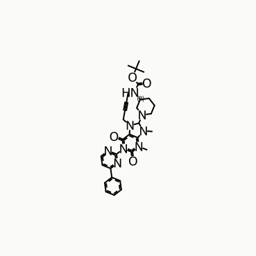 CC#CCN1c2c(n(C)c(=O)n(-c3nccc(-c4ccccc4)n3)c2=O)N(C)C1N1CCC[C@@H](NC(=O)OC(C)(C)C)C1